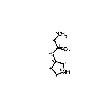 CCC(=O)SC1CCNC1